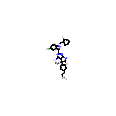 CC1(c2ccc(CCC(=O)O)cc2)C(=O)Nc2nc(-c3nn(Cc4ccccc4F)c4ccc(Cl)cc34)nc(N)c21